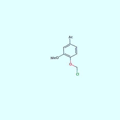 COc1cc(C(C)=O)ccc1OCCl